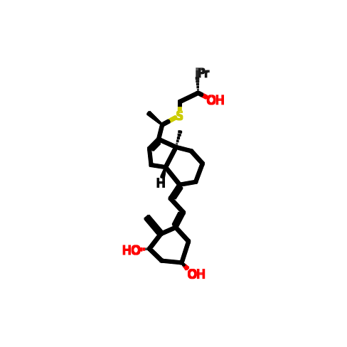 C=C1C(=CC=C2CCC[C@]3(C)C([C@@H](C)SC[C@@H](O)C(C)C)=CC[C@@H]23)C[C@@H](O)C[C@@H]1O